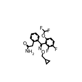 NC(=O)Cc1ccccc1C(=NOCC1CC1)c1c(OC(F)F)ccc(F)c1F